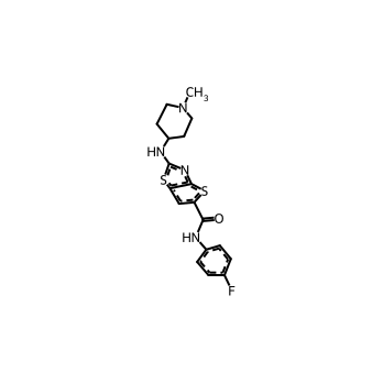 CN1CCC(Nc2nc3sc(C(=O)Nc4ccc(F)cc4)cc3s2)CC1